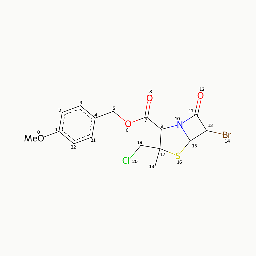 COc1ccc(COC(=O)C2N3C(=O)C(Br)C3SC2(C)CCl)cc1